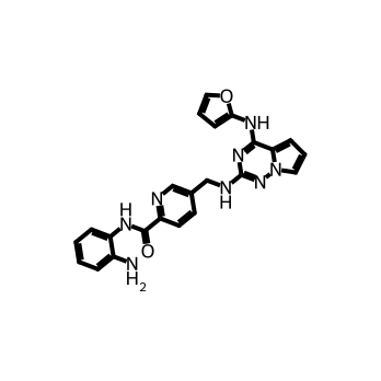 Nc1ccccc1NC(=O)c1ccc(CNc2nc(Nc3ccco3)c3cccn3n2)cn1